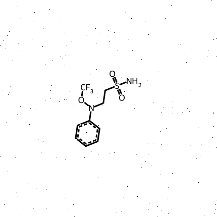 NS(=O)(=O)CCN(OC(F)(F)F)c1ccccc1